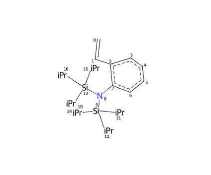 C=Cc1ccccc1N([Si](C(C)C)(C(C)C)C(C)C)[Si](C(C)C)(C(C)C)C(C)C